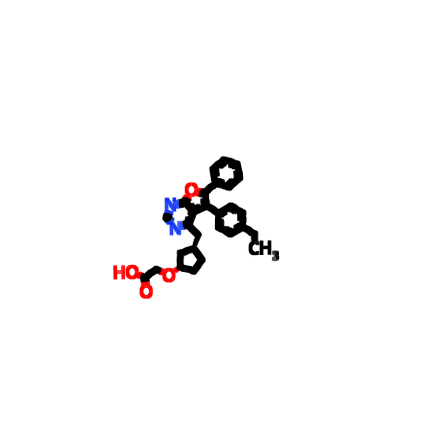 CCc1ccc(-c2c(-c3ccccc3)oc3ncnc(C[C@H]4CC[C@@H](OCC(=O)O)C4)c23)cc1